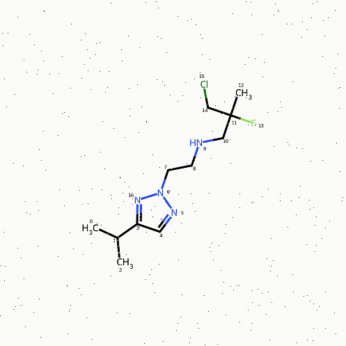 CC(C)c1cnn(CCNCC(C)(F)CCl)n1